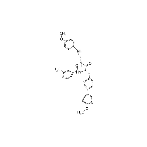 COc1ccc(NCCNC(=O)[C@H](Cc2ccc(-c3ccc(OC)nc3)cc2)NC(=O)c2cccc(C)c2)cc1